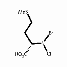 CSCC[C@@H](C(=O)O)N(Cl)Br